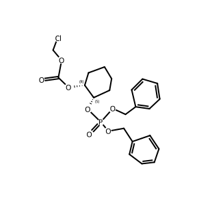 O=C(OCCl)O[C@@H]1CCCC[C@@H]1OP(=O)(OCc1ccccc1)OCc1ccccc1